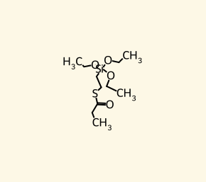 CCO[Si](CCSC(=O)CC)(OCC)OCC